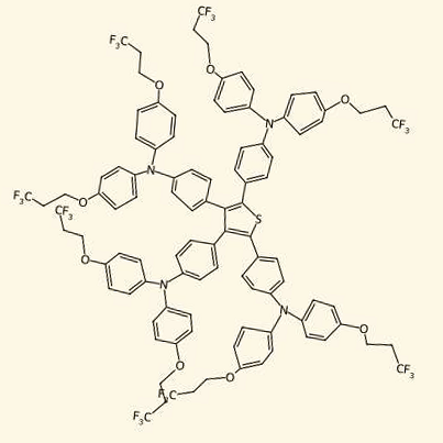 FC(F)(F)CCOc1ccc(N(c2ccc(OCCC(F)(F)F)cc2)c2ccc(-c3sc(-c4ccc(N(c5ccc(OCCC(F)(F)F)cc5)c5ccc(OCCC(F)(F)F)cc5)cc4)c(-c4ccc(N(c5ccc(OCCC(F)(F)F)cc5)c5ccc(OCCC(F)(F)F)cc5)cc4)c3-c3ccc(N(c4ccc(OCCC(F)(F)F)cc4)c4ccc(OCCC(F)(F)F)cc4)cc3)cc2)cc1